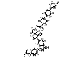 CC(C)Oc1ccc(-c2n[nH]c3ccc(N4CC[C@]5(CCN(CC(=O)N6CCN(c7ccc(-c8ncn(C)n8)cc7)CC6)C5)C4=O)cc23)cn1